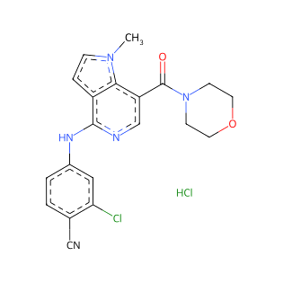 Cl.Cn1ccc2c(Nc3ccc(C#N)c(Cl)c3)ncc(C(=O)N3CCOCC3)c21